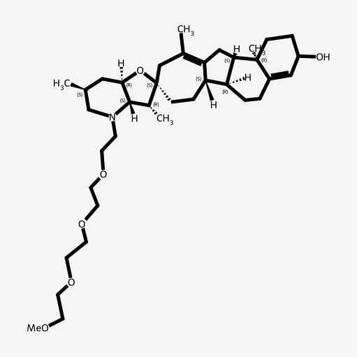 COCCOCCOCCOCCN1C[C@@H](C)C[C@H]2O[C@]3(CC[C@@H]4C(=C(C)C3)C[C@H]3[C@H]4CCC4=CC(O)CC[C@@]43C)[C@H](C)[C@@H]21